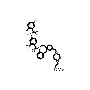 COCCN1CCN(CC2=CC3(CC2)CCN(C(=O)c2ccc(NC(=O)c4cc(F)ccc4C)cc2Cl)c2ccccc2C3)CC1